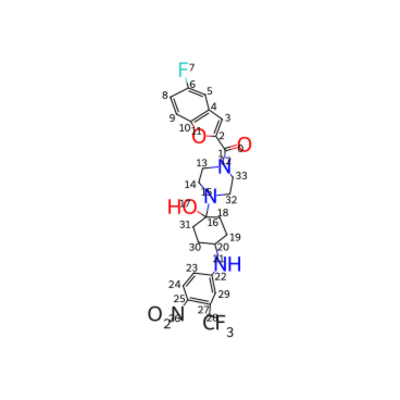 O=C(c1cc2cc(F)ccc2o1)N1CCN(C2(O)CCC(Nc3ccc([N+](=O)[O-])c(C(F)(F)F)c3)CC2)CC1